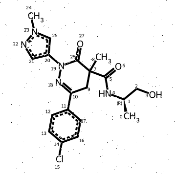 C[C@H](CO)NC(=O)C1(C)CC(c2ccc(Cl)cc2)=NN(c2cnn(C)c2)C1=O